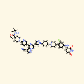 CCC1(C(=O)NC(C)(C)C)CCN(c2ccc(-c3nc(-c4cnn(C5CCC(N6CCC(c7ccc(NC8CCC(=O)NC8=O)cc7F)CC6)CC5)c4)cn4ncc(C#N)c34)cn2)CC1